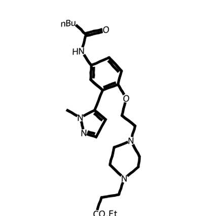 CCCCC(=O)Nc1ccc(OCCN2CCN(CCC(=O)OCC)CC2)c(-c2ccnn2C)c1